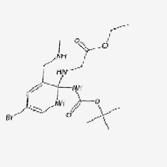 CCOC(=O)CNC1(NC(=O)OC(C)(C)C)NC=C(Br)C=C1CNC